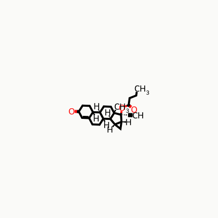 C#C[C@]1(OC(=O)CCC)[C@@H]2C[C@@H]2[C@H]2[C@@H]3CCC4=CC(=O)CC[C@@H]4[C@H]3CC[C@@]21C